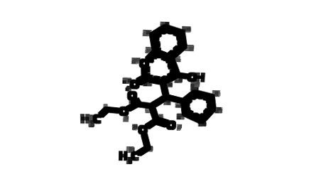 CCOC(=O)C(C(=O)OCC)C(c1ccccc1)c1c(O)c2ccccc2oc1=O